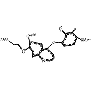 CNCCOc1cc2nccc(Oc3ccc(NC)c(F)c3F)c2cc1OC